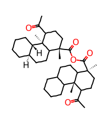 CC(=O)C1CC[C@](C)(C(=O)OC(=O)[C@@]2(C)CCC(C(C)=O)[C@@]3(C)C2CC[C@H]2CCCC[C@@H]23)C2CCC3CCCCC3[C@@]12C